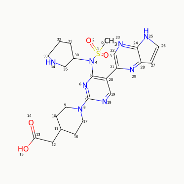 CS(=O)(=O)N(c1nc(N2CCC(CC(=O)O)CC2)ncc1-c1cnc2[nH]ccc2n1)C1CCCNC1